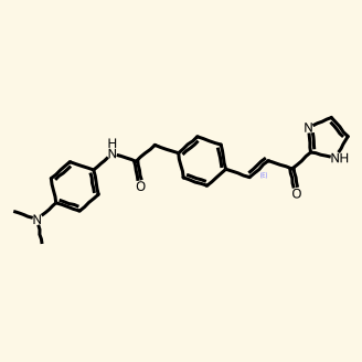 CN(C)c1ccc(NC(=O)Cc2ccc(/C=C/C(=O)c3ncc[nH]3)cc2)cc1